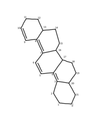 [C]1CCC2=C3C=CC4=C5C=CCCC5CCC4C3CCC2C1